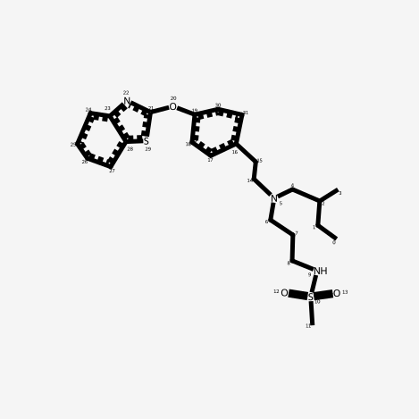 CCC(C)CN(CCCNS(C)(=O)=O)CCc1ccc(Oc2nc3ccccc3s2)cc1